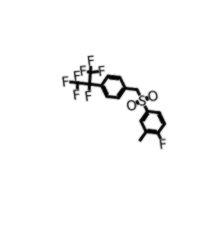 Cc1cc(S(=O)(=O)Cc2ccc(C(F)(C(F)(F)F)C(F)(F)F)cc2)ccc1F